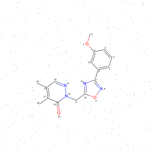 COc1cccc(-c2noc(Cn3ncc(C)c(C)c3=O)n2)c1